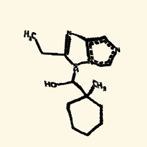 CCC1=Nc2cncn2[SH]1C(O)C1(C)CCCCC1